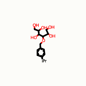 CC(C)c1ccc(COC(C(O)CO)C(O)C(O)CO)cc1